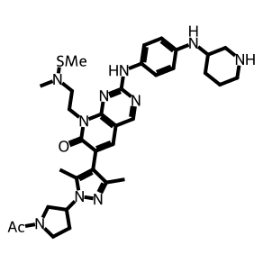 CSN(C)CCn1c(=O)c(-c2c(C)nn(C3CCN(C(C)=O)C3)c2C)cc2cnc(Nc3ccc(NC4CCCNC4)cc3)nc21